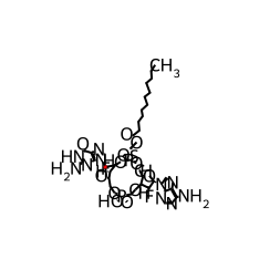 CCCCCCCCCCCC(=O)OCSP1(=O)OC[C@H]2O[C@@H](n3cnc4c(N)ncnc43)[C@H](F)[C@@H]2OCP(=O)(O)OCC2O[C@@H](n3cnc4c(=O)[nH]c(N)nc43)[C@H](O1)[C@@H]2F